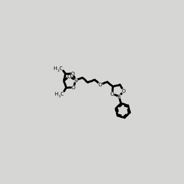 CC1O[Si]2(CCCOCC3COB(c4ccccc4)O3)OC(C)C1O2